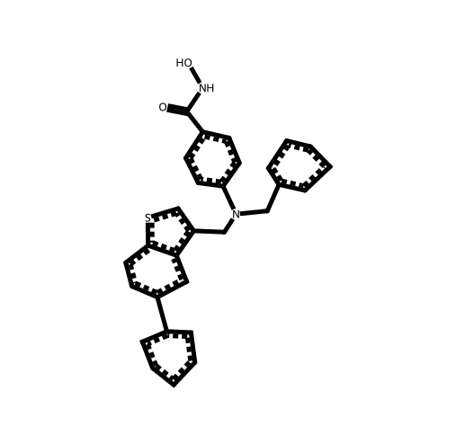 O=C(NO)c1ccc(N(Cc2ccccc2)Cc2csc3ccc(-c4ccccc4)cc23)cc1